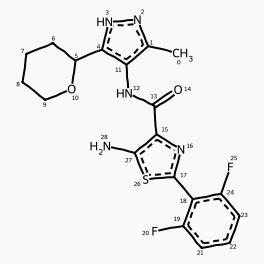 Cc1n[nH]c(C2CCCCO2)c1NC(=O)c1nc(-c2c(F)cccc2F)sc1N